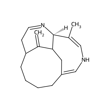 C=C1C2CC=N[C@H]3/C(C)=C\N/C=C(/CCCC2)CC13